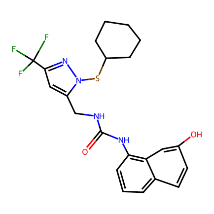 O=C(NCc1cc(C(F)(F)F)nn1SC1CCCCC1)Nc1cccc2ccc(O)cc12